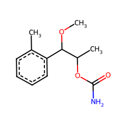 COC(c1ccccc1C)C(C)OC(N)=O